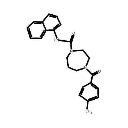 Cc1ccc(C(=O)N2CCCN(C(=O)Nc3cccc4ccccc34)CC2)cc1